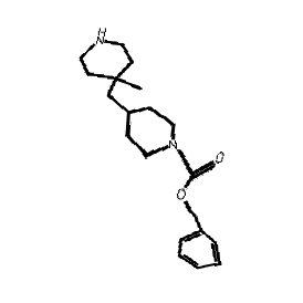 CC1(CC2CCN(C(=O)OCc3ccccc3)CC2)CCNCC1